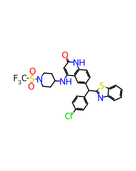 O=c1cc(NC2CCN(S(=O)(=O)C(F)(F)F)CC2)c2cc(C(c3ccc(Cl)cc3)c3nc4ccccc4s3)ccc2[nH]1